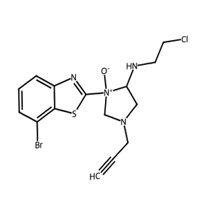 C#CCN1CC(NCCCl)[N+]([O-])(c2nc3cccc(Br)c3s2)C1